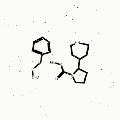 CC(C)(C)OC(=O)N1CCCC1C1CCNCC1.O=COCc1ccccc1